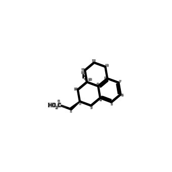 O=C(O)C[C@@H]1Cc2cccc3c2[C@H](CCC3)C1